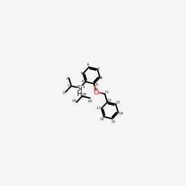 CC(C)[SiH](c1ccccc1OCc1ccccc1)C(C)C